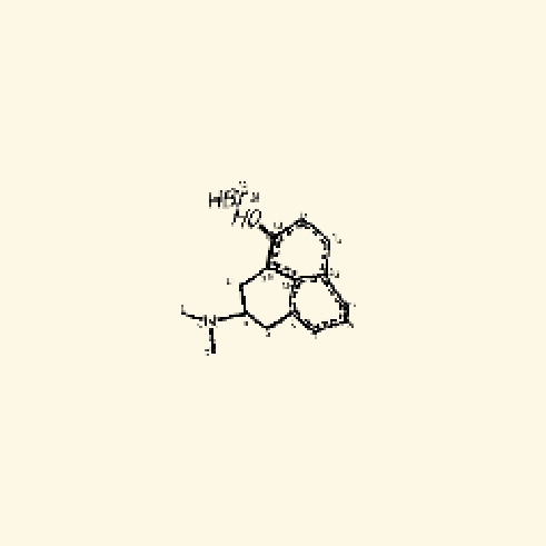 Br.CN(C)C1Cc2cccc3ccc(O)c(c23)C1